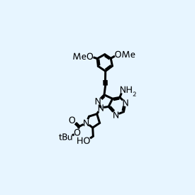 COc1cc(C#Cc2nn(C3CC(CO)N(C(=O)OC(C)(C)C)C3)c3ncnc(N)c23)cc(OC)c1